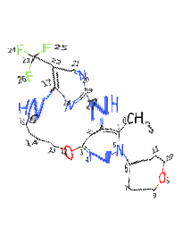 Cc1c2c(nn1C1CCOCC1)OCCCNc1nc(ncc1C(F)(F)F)N2